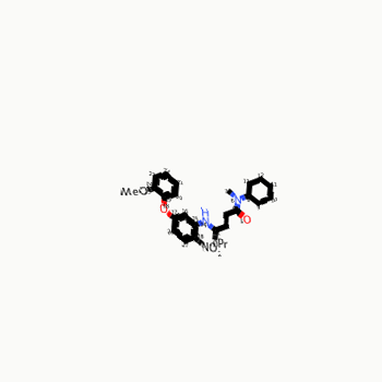 CCCC(CCC(=O)N(C)C1CCCCC1)Nc1cc(Oc2ccccc2OC)ccc1[N+](=O)[O-]